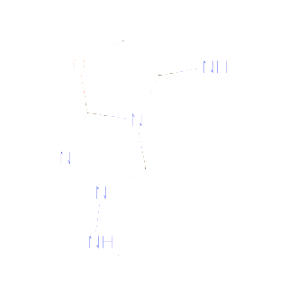 NC1=COC2=NN(N)CN12